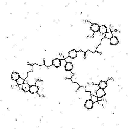 COc1cc([N+](=O)[O-])cc2c1OC1(C=C2)N(CCOC(=O)CCC(=O)Oc2ccc(C(C)(c3ccc(OC(=O)CCC(=O)OCCN4c5ccccc5C(C)(C)C45C=Cc4cc([N+](=O)[O-])cc(OC)c4O5)cc3)c3ccc(OC(=O)CCC(=O)OCCN4c5ccccc5C(C)(C)C45C=Cc4cc([N+](=O)[O-])cc(OC)c4O5)cc3)cc2)c2ccccc2C1(C)C